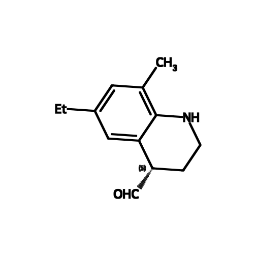 CCc1cc(C)c2c(c1)[C@@H](C=O)CCN2